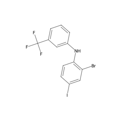 FC(F)(F)c1cccc(Nc2ccc(I)cc2Br)c1